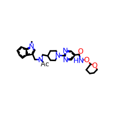 CC(=O)N(Cc1cn(C)c2ccccc12)CC1CCN(c2ncc(C(=O)NOC3CCCCO3)cn2)CC1